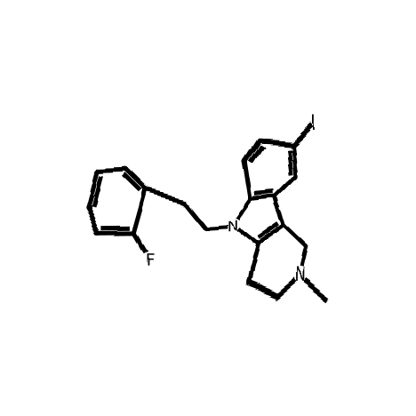 CN1CCc2c(c3cc(I)ccc3n2CCc2ccccc2F)C1